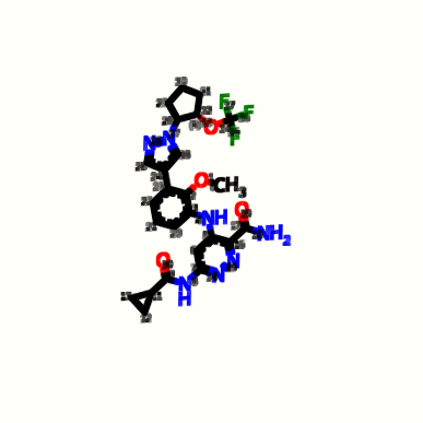 COc1c(Nc2cc(NC(=O)C3CC3)nnc2C(N)=O)cccc1-c1cnn(C2CCC[C@H]2OC(F)(F)F)c1